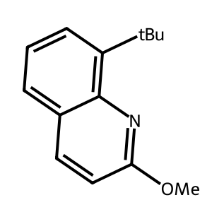 COc1ccc2cccc(C(C)(C)C)c2n1